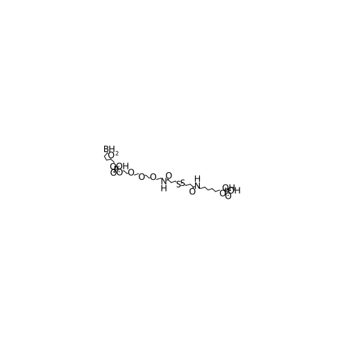 BC1CCC(COP(=O)(O)OCCOCCOCCOCCNC(=O)CCSSCCC(=O)NCCCCCCOP(=O)(O)O)O1